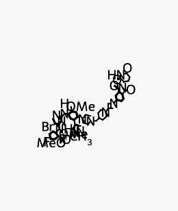 COc1cc(N2CCN(CC3CCN(C4CN(c5ccc6c(c5)C(=O)N(C5CCC(=O)NC5=O)C6=O)C4)CC3)CC2)c(-c2cnn(C)c2)cc1Nc1ncc(Br)c(Nc2ccc(F)cc2P(=O)(OC)OC)n1